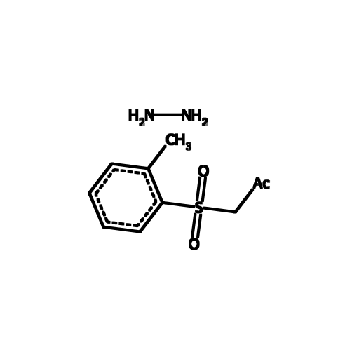 CC(=O)CS(=O)(=O)c1ccccc1C.NN